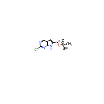 CC(C)(C)[Si](C)(C)OCc1cc2cnc(Cl)nc2[nH]1